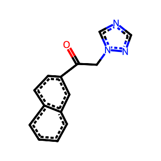 O=C(Cn1cncn1)c1ccc2ccccc2c1